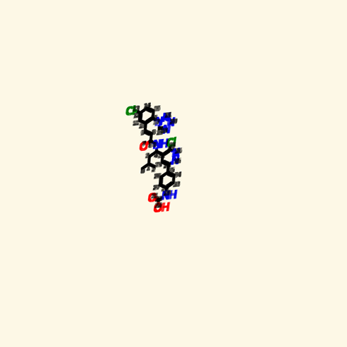 CC(C)CC(NC(=O)C=Cc1cc(Cl)ccc1-n1cnnn1)c1cc(-c2ccc(NC(=O)O)cc2)nnc1Cl